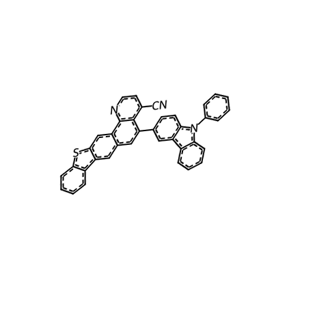 N#Cc1ccnc2c1c(-c1ccc3c(c1)c1ccccc1n3-c1ccccc1)cc1cc3c(cc12)sc1ccccc13